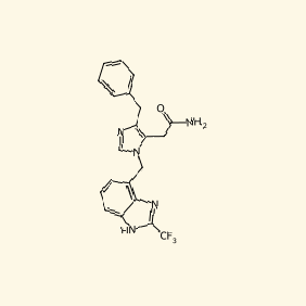 NC(=O)Cc1c(Cc2ccccc2)ncn1Cc1cccc2[nH]c(C(F)(F)F)nc12